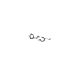 C=CCc1ccc2nc(-c3ccc(O)cc3)cn2c1